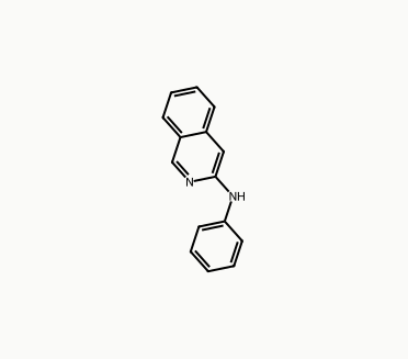 c1ccc(Nc2cc3ccccc3cn2)cc1